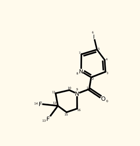 O=C(c1ccc(I)cn1)N1CCC(F)(F)CC1